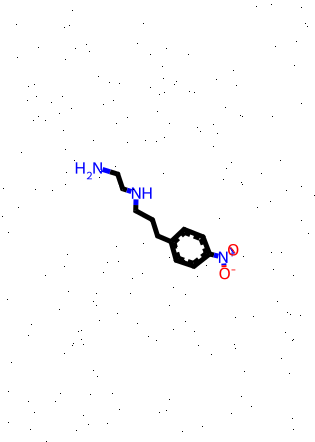 NCCNCCCc1ccc([N+](=O)[O-])cc1